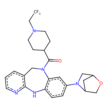 O=C(C1CCN(CC(F)(F)F)CC1)N1Cc2cccnc2Nc2ccc(N3CC4CC3CO4)cc21